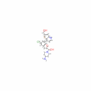 CN(C)C1CCN(C(O)C2Cc3cc(Cl)cc(-c4ccnc5cc(CO)sc45)c3O2)CC1